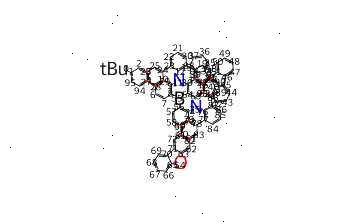 CC(C)(C)c1ccc(-c2ccc3c(c2)N(c2c(-c4ccccc4)cccc2-c2ccccc2)c2cc(C4(c5ccccc5)c5ccccc5-c5ccccc54)cc4c2B3c2ccc(-c3ccc5oc6ccccc6c5c3)cc2N4c2c(-c3ccccc3)cccc2-c2ccccc2)cc1